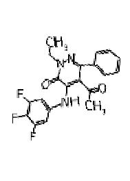 CCn1nc(-c2ccccc2)c(C(C)=O)c(Nc2cc(F)c(F)c(F)c2)c1=O